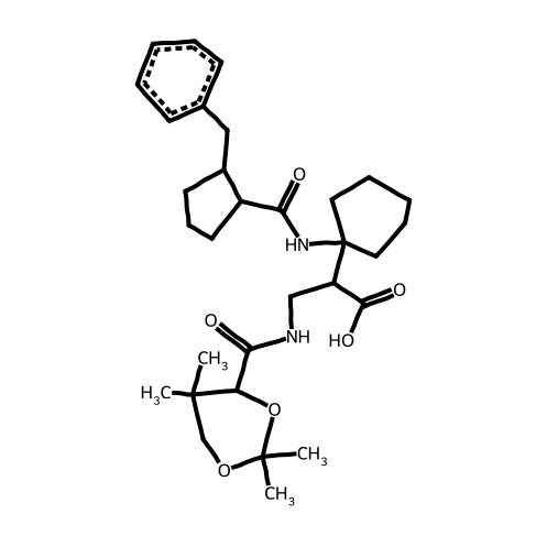 CC1(C)OCC(C)(C)C(C(=O)NCC(C(=O)O)C2(NC(=O)C3CCCC3Cc3ccccc3)CCCCC2)O1